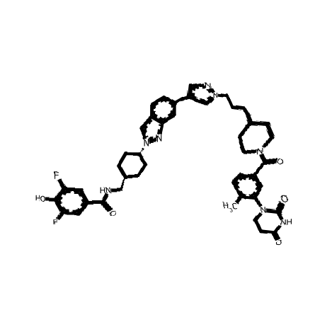 Cc1ccc(C(=O)N2CCC(CCCn3cc(-c4ccc5cn([C@H]6CC[C@H](CNC(=O)c7cc(F)c(O)c(F)c7)CC6)nc5c4)cn3)CC2)cc1N1CCC(=O)NC1=O